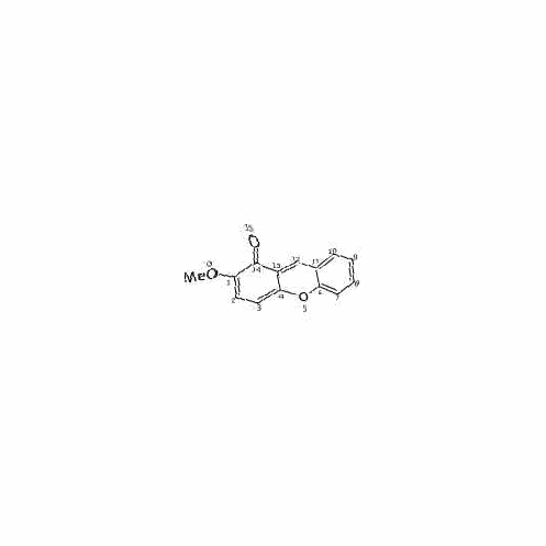 COc1ccc2oc3ccccc3cc-2c1=O